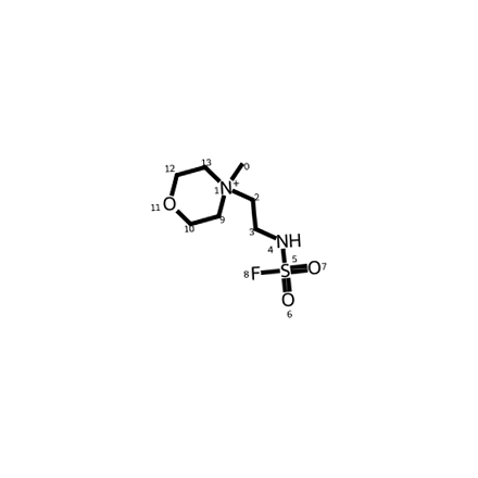 C[N+]1(CCNS(=O)(=O)F)CCOCC1